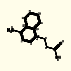 Cc1cc[n+](CCC(=O)O)c2ccccc12